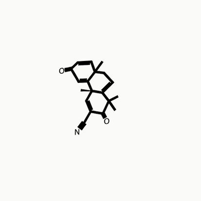 CC12C=CC(=O)C=C1[C@@]1(C)C=C(C#N)C(=O)C(C)(C)C1=CC2